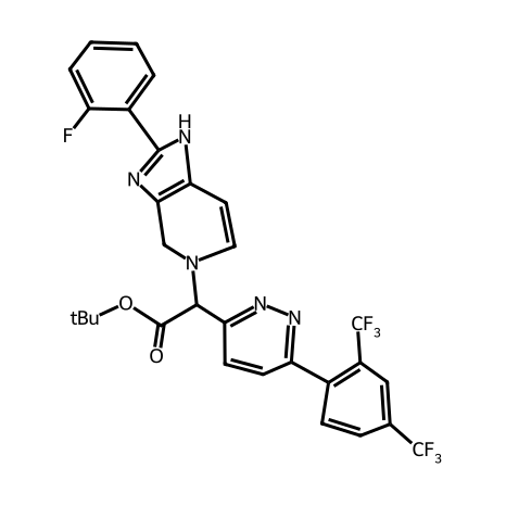 CC(C)(C)OC(=O)C(c1ccc(-c2ccc(C(F)(F)F)cc2C(F)(F)F)nn1)N1C=Cc2[nH]c(-c3ccccc3F)nc2C1